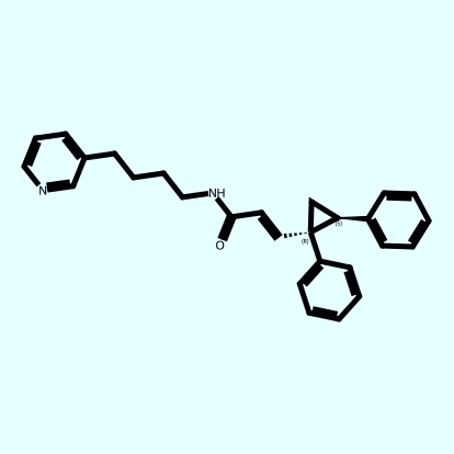 O=C(C=C[C@]1(c2ccccc2)C[C@H]1c1ccccc1)NCCCCc1cccnc1